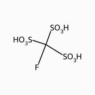 O=S(=O)(O)C(F)(S(=O)(=O)O)S(=O)(=O)O